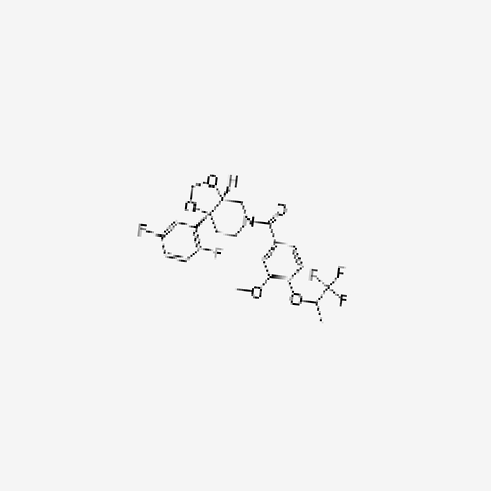 COc1cc(C(=O)N2CC[C@]3(c4cc(F)ccc4F)OCO[C@@H]3C2)ccc1OC(C)C(F)(F)F